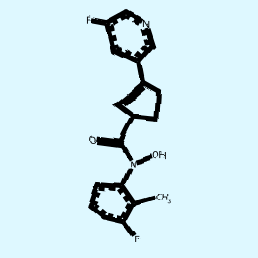 Cc1c(F)cccc1N(O)C(=O)C1C=C(c2cncc(F)c2)CC1